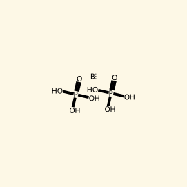 O=P(O)(O)O.O=P(O)(O)O.[B]